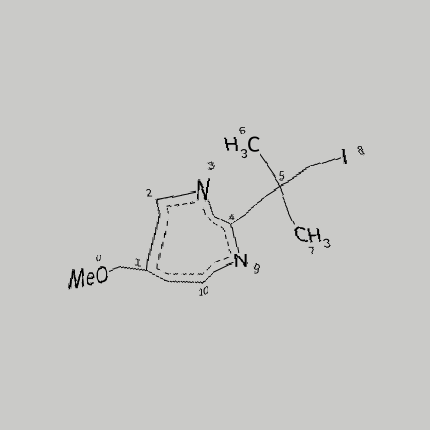 COc1cnc(C(C)(C)I)nc1